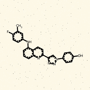 Cc1cc(Nc2cccc3nc(-c4cn(-c5ccc(O)cc5)nn4)ccc23)ccc1F